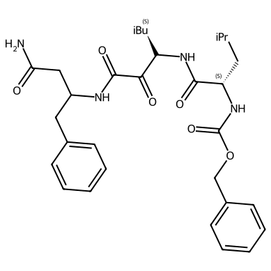 CC[C@H](C)C(NC(=O)[C@H](CC(C)C)NC(=O)OCc1ccccc1)C(=O)C(=O)NC(CC(N)=O)Cc1ccccc1